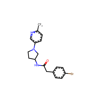 O=C(Cc1ccc(Br)cc1)NC1CCN(c2ccc(C(F)(F)F)nc2)C1